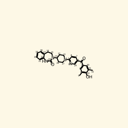 Cc1cc(C(=O)c2ccc(N3CCC(N4CCc5ccccc5NC4=O)CC3)nc2)cc(C)c1O